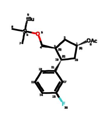 CC(=O)O[C@H]1C[C@H](CO[Si](C)(C)C(C)(C)C)[C@@H](c2cccc(F)c2)C1